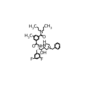 CCCN(CCC)C(=O)c1cc(C)cc(C(=O)N[C@@H](Cc2cc(F)cc(F)c2)[C@H](O)C2CN(Cc3ccccc3)CCN2)c1